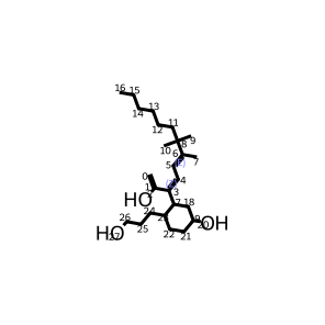 C=C(O)/C(=C\C=C(/C)C(C)(C)CCCCCC)C1CC(O)CCC1CCCO